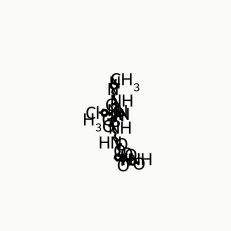 Cc1c(C(=O)NCCCCNC(=O)COc2cccc3c2C(=O)N(C2CCC(=O)NC2=O)C3=O)sc2c1C(c1ccc(Cl)cc1)=N[C@@H](CC(=O)NCCCN1CCN(C)CC1)c1nncn1-2